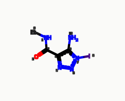 CCNC(=O)c1nnn(I)c1N